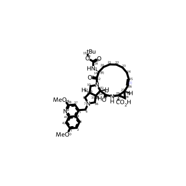 COc1ccc2c(CN3C[C@H]4CN5C(=O)[C@H](NC(=O)OC(C)(C)C)CCCCC/C=C\[C@@H]6C[C@@]6(C(=O)O)NC(=O)[C@@H]5[C@H]4C3)cc(OC)nc2c1